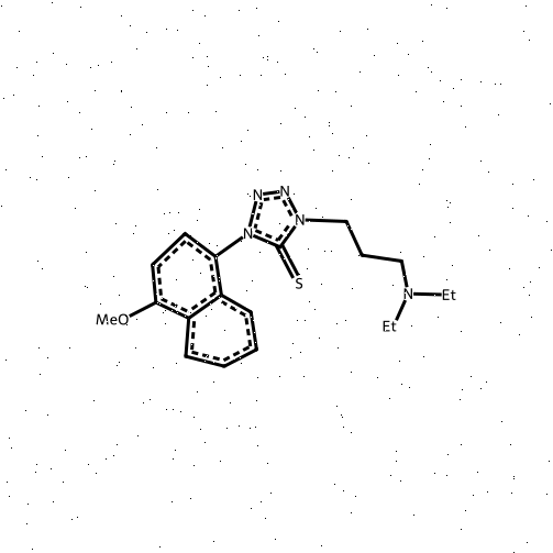 CCN(CC)CCCn1nnn(-c2ccc(OC)c3ccccc23)c1=S